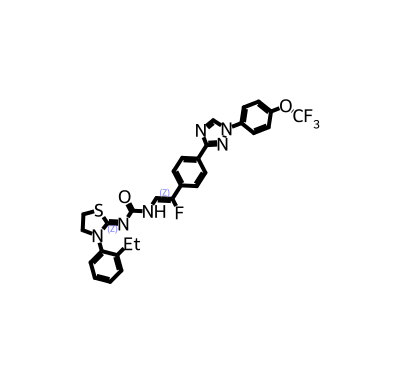 CCc1ccccc1N1CCS/C1=N\C(=O)N/C=C(\F)c1ccc(-c2ncn(-c3ccc(OC(F)(F)F)cc3)n2)cc1